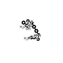 CN(C(=O)O)[C@@H](C(=O)N1CCC[C@H]1c1ncc(-c2ccc(-c3ccc(-c4cnc([C@@H]5CCCN5C(=O)Cc5cn(C)cn5)[nH]4)cc3)cc2)[nH]1)c1ccccc1